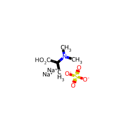 CC(C(=O)O)N(C)C.O=S(=O)([O-])[O-].[Na+].[Na+]